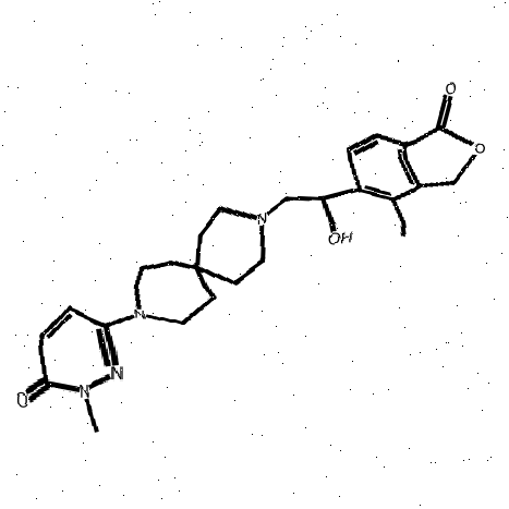 Cc1c(C(O)CN2CCC3(CC2)CCN(c2ccc(=O)n(C)n2)CC3)ccc2c1COC2=O